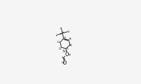 CC(C)(C)C1=CC[C@@H](OC=O)CC1